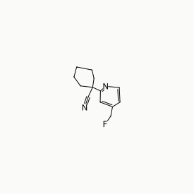 N#CC1(c2cc(CF)ccn2)CCCCC1